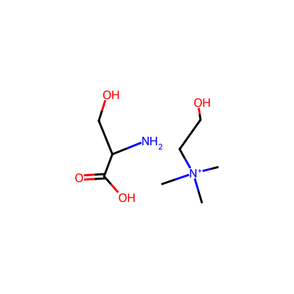 C[N+](C)(C)CCO.NC(CO)C(=O)O